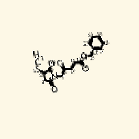 CSC1CC(=O)N(CC(=O)CCC(=O)OCc2ccccc2)C1=O